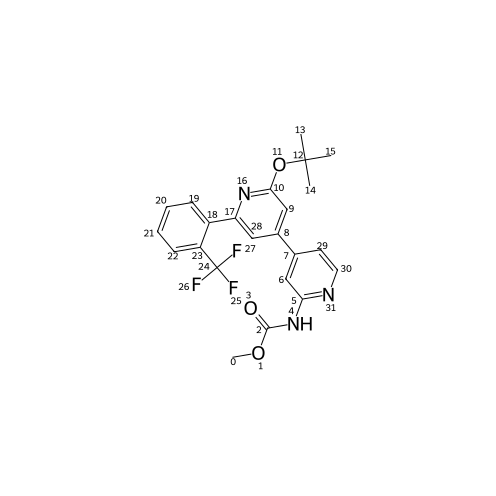 COC(=O)Nc1cc(-c2cc(OC(C)(C)C)nc(-c3ccccc3C(F)(F)F)c2)ccn1